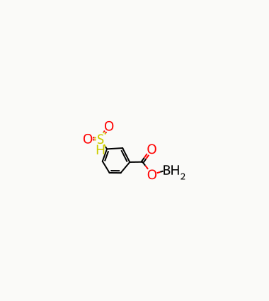 BOC(=O)c1cccc([SH](=O)=O)c1